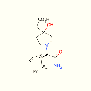 C=C[C@@H](C(C(N)=O)N1CCC(O)(CC(=O)O)CC1)[C@H](C)C(C)C